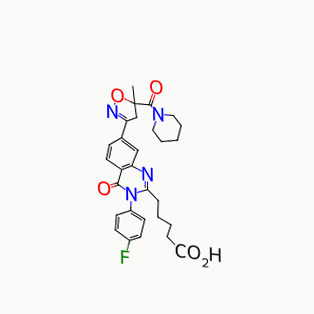 CC1(C(=O)N2CCCCC2)CC(c2ccc3c(=O)n(-c4ccc(F)cc4)c(CCCCC(=O)O)nc3c2)=NO1